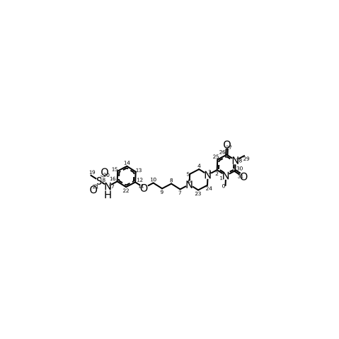 Cn1c(N2CCN(CCCCOc3cccc(NS(C)(=O)=O)c3)CC2)cc(=O)n(C)c1=O